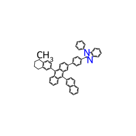 CC1CCCc2cc(-c3c4ccccc4c(-c4ccc5ccccc5c4)c4cc(-c5ccc(-c6nc7ccccc7n6-c6ccccc6)cc5)ccc34)ccc21